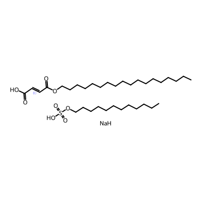 CCCCCCCCCCCCCCCCCCOC(=O)/C=C/C(=O)O.CCCCCCCCCCCCOS(=O)(=O)O.[NaH]